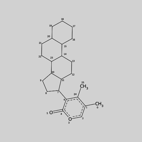 Cc1coc(=O)c(C2CCC3C2CCC2C4CCCCC4CCC23)c1C